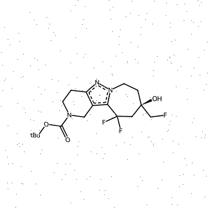 CC(C)(C)OC(=O)N1CCc2nn3c(c2C1)C(F)(F)C[C@@](O)(CF)CC3